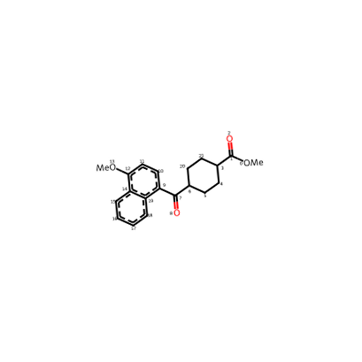 COC(=O)C1CCC(C(=O)c2ccc(OC)c3ccccc23)CC1